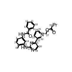 Cc1ccc(NC(=O)c2ccccc2)cc1Nc1nccc(-c2ccc[n+](COC(=O)C(C)C)c2)n1